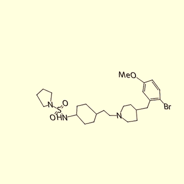 COc1ccc(Br)c(CC2CCN(CCC3CCC(NS(=O)(=O)N4CCCC4)CC3)CC2)c1